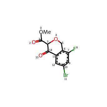 COC(=O)C1OCc2c(F)cc(Br)cc2C1=O